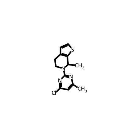 Cc1cc(Cl)nc(N2CCc3ccsc3C2C)n1